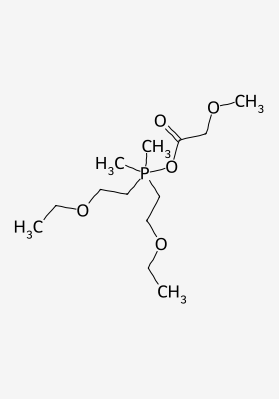 CCOCCP(C)(C)(CCOCC)OC(=O)COC